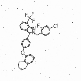 Fc1cc(Cl)ccc1Cn1nc2c(C(F)(F)F)cccc2c1-c1ccc(Oc2cccc3c2CCCC3)cc1